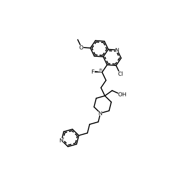 COc1ccc2ncc(Cl)c([C@H](F)CCC3(CO)CCN(CCCc4ccncc4)CC3)c2c1